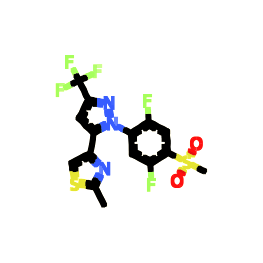 Cc1nc(-c2cc(C(F)(F)F)nn2-c2cc(F)c(S(C)(=O)=O)cc2F)cs1